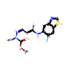 CCCN(/N=C\C=C(/CC)Nc1cc2ncsc2cc1F)C(=O)OC(C)(C)C